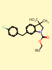 CC(C)(C)COC(=O)N1CC(C)(C(=O)O)c2ccc(Cc3ccc(F)cc3)cc21